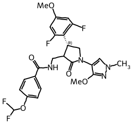 COc1cc(F)c([C@@H]2CN(c3cn(C)nc3OC)C(=O)C2CNC(=O)c2ccc(OC(F)F)cc2)c(F)c1